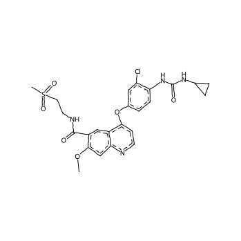 COc1cc2nccc(Oc3ccc(NC(=O)NC4CC4)c(Cl)c3)c2cc1C(=O)NCCS(C)(=O)=O